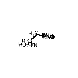 CC(C=Cc1ccc(NNc2ccccc2)cc1)=CC=CC=C(C)C=C(C#N)C(=O)O